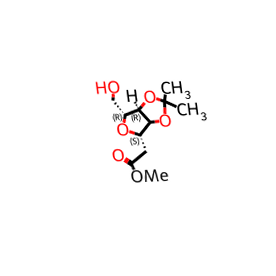 COC(=O)C[C@@H]1O[C@H](CO)[C@H]2OC(C)(C)OC12